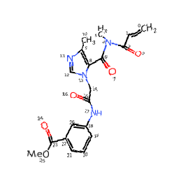 C=CC(=O)N(C)C(=O)c1c(C)ncn1CC(=O)Nc1cccc(C(=O)OC)c1